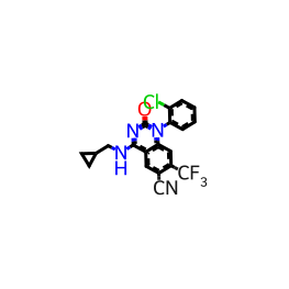 N#Cc1cc2c(NCC3CC3)nc(=O)n(-c3ccccc3Cl)c2cc1C(F)(F)F